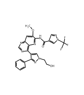 COc1cc2ncnc(-c3cn(CCO)nc3-c3ccccc3)c2nc1NC(=O)c1cnn(C(F)(F)F)c1